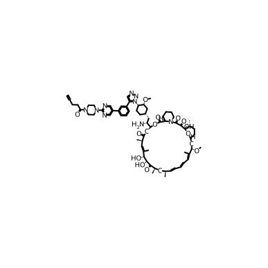 C#CCCC(=O)N1CCN(c2ncc(-c3cccc(-c4cnnn4[C@H]4CC[C@@H](C[C@@H](N)[C@@H]5CC(=O)[C@H](C)/C=C(\C)[C@@H](O)[C@@H](O)C(=O)[C@H](C)C[C@H](C)/C=C/C=C/C=C(\C)[C@@H](OC)C[C@@H]6CC[C@@H](C)[C@@](O)(O6)C(=O)C(=O)N6CCCC[C@H]6C(=O)O5)C[C@H]4OC)c3)cn2)CC1